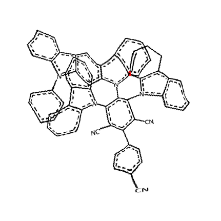 N#Cc1ccc(-c2c(C#N)c(-n3c4c(c5ccccc53)CCC=C4)c(-n3c4ccccc4c4cc5c6ccccc6n(-c6ccccc6)c5cc43)c(-n3c4ccccc4c4ccccc43)c2C#N)cc1